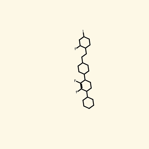 FC1=C(F)C(C2CCC(CCC3CCC(I)CC3F)CC2)CCC1C1CCCCC1